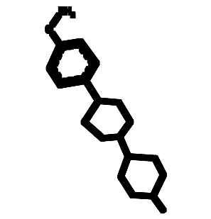 CC1CCC(C2CCC(c3ccc(ON)cc3)CC2)CC1